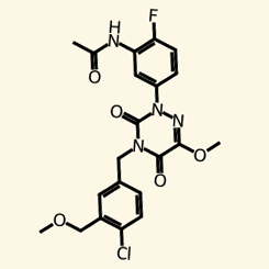 COCc1cc(Cn2c(=O)c(OC)nn(-c3ccc(F)c(NC(C)=O)c3)c2=O)ccc1Cl